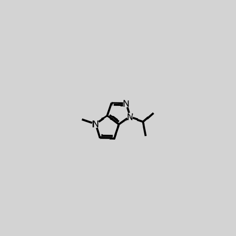 CC(C)n1ncc2c1ccn2C